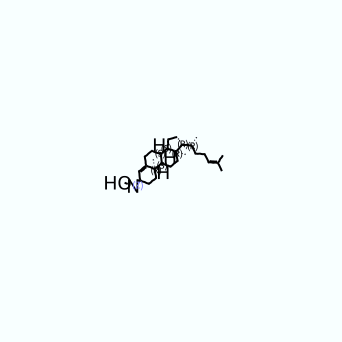 CC(C)=CCC[C@@H](C)[C@H]1CC[C@H]2[C@@H]3CCC4=C/C(=N\O)CC[C@]4(C)[C@H]3CC[C@]12C